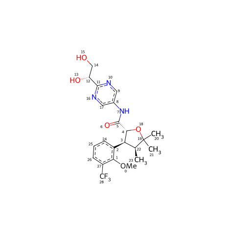 COc1c([C@H]2[C@H](C(=O)Nc3cnc([C@H](O)CO)nc3)OC(C)(C)[C@H]2C)cccc1C(F)(F)F